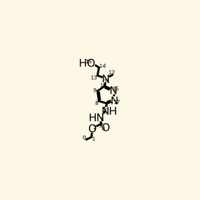 CCOC(=O)NNc1ccc(N(C)CCO)nn1